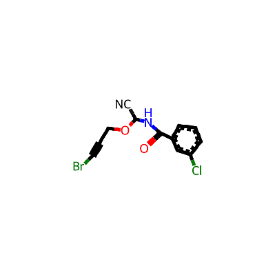 N#CC(NC(=O)c1cccc(Cl)c1)OCC#CBr